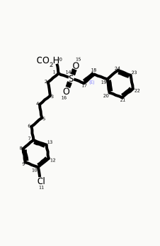 O=C(O)C(CCCCCc1ccc(Cl)cc1)S(=O)(=O)/C=C/c1ccccc1